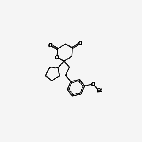 CCOc1cccc(CCC2(C3CCCC3)CC(=O)CC(=O)O2)c1